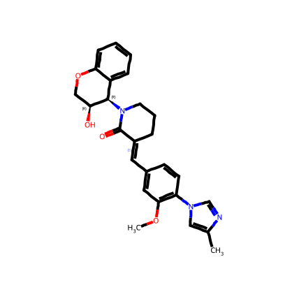 COc1cc(/C=C2\CCCN([C@@H]3c4ccccc4OC[C@@H]3O)C2=O)ccc1-n1cnc(C)c1